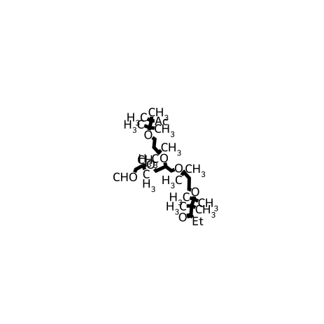 CCC(=O)C(C)(C)C(C)(C)OCCC(C)(C)OCC(COC(C)(C)CC=O)OC(C)(C)CCOC(C)(C)C(C)(C)C(C)=O